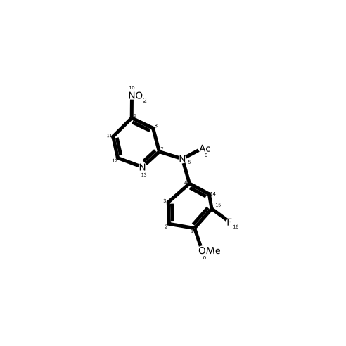 COc1ccc(N(C(C)=O)c2cc([N+](=O)[O-])ccn2)cc1F